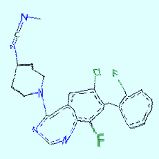 CN=C=NC1CCN(c2ncnc3c(F)c(-c4ccccc4F)c(Cl)cc23)CC1